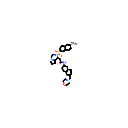 COc1ccc2cc(S(=O)(=O)N3CCn4cccc4C3CC(=O)NC3CCc4cc(CN5CCOCC5)ccc4C3)ccc2c1